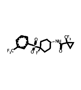 O=C(N[C@H]1CC[C@@](F)(S(=O)(=O)c2cccc(C(F)(F)F)c2)CC1)C1(C(F)(F)F)CC1